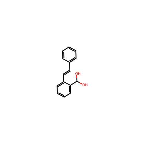 OC(O)c1ccccc1/C=C/c1ccccc1